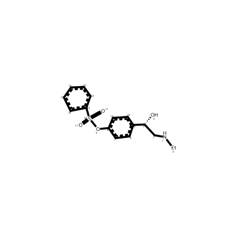 CCNC[C@@H](O)c1ccc(OS(=O)(=O)c2ccccc2)cc1